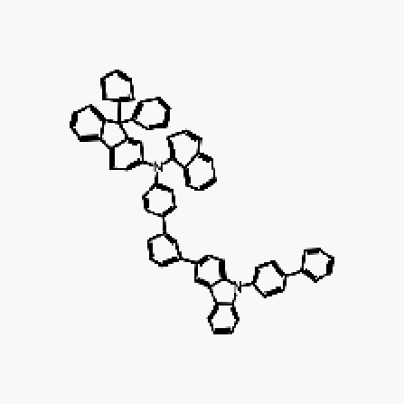 C1=C=CC(C2(c3ccccc3)c3ccccc3-c3ccc(N(c4ccc(-c5cccc(-c6ccc7c(c6)c6ccccc6n7-c6ccc(-c7ccccc7)cc6)c5)cc4)c4cccc5ccccc45)cc32)=CC=1